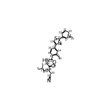 CC(C)C[C@H](NC(=O)c1ccc(-c2csc(C3=CN(C)CC=C3)n2)cc1I)C(=O)NCC#N